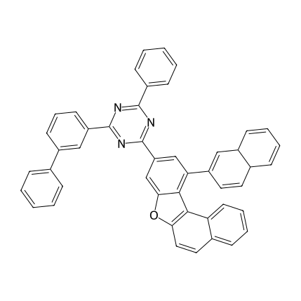 C1=CC2C=CC(c3cc(-c4nc(-c5ccccc5)nc(-c5cccc(-c6ccccc6)c5)n4)cc4oc5ccc6ccccc6c5c34)=CC2C=C1